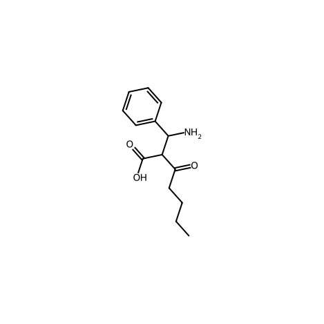 CCCCC(=O)C(C(=O)O)C(N)c1ccccc1